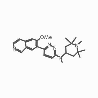 COc1cc2ccncc2cc1-c1ccc(N(C)C2CC(C)(C)N(C)C(C)(C)C2)nn1